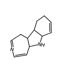 C1=CC2NC3C=CN=CCC3C2CC1